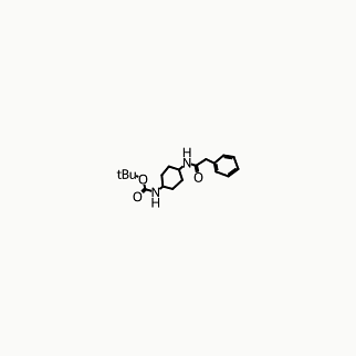 CC(C)(C)OC(=O)NC1CCC(NC(=O)Cc2ccccc2)CC1